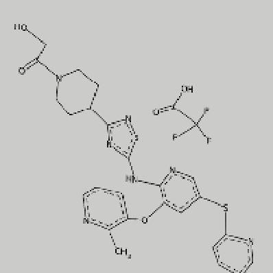 Cc1ncccc1Oc1cc(Sc2ccccn2)cnc1Nc1nc(C2CCN(C(=O)CO)CC2)ns1.O=C(O)C(F)(F)F